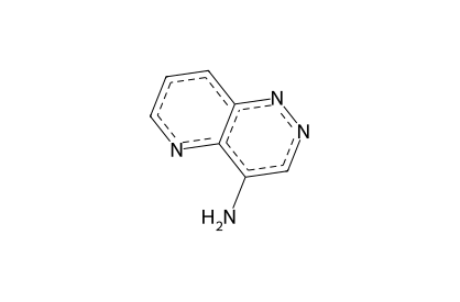 Nc1cnnc2cccnc12